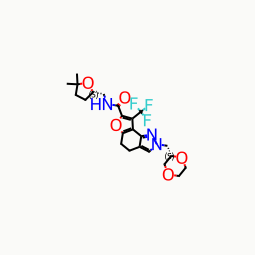 CC1(C)CC[C@@H](CNC(=O)c2oc3c(c2C(F)(F)F)-c2nn(C[C@H]4COCCO4)cc2CC3)O1